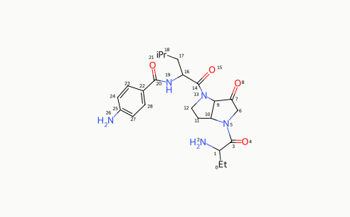 CCC(N)C(=O)N1CC(=O)C2C1CCN2C(=O)C(CC(C)C)NC(=O)c1ccc(N)cc1